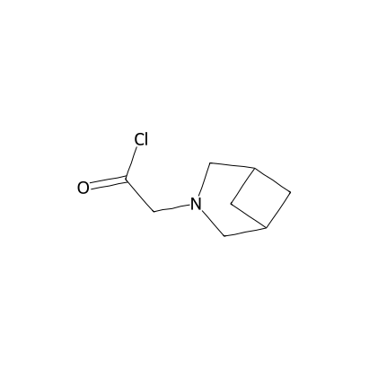 O=C(Cl)CN1CC2CC(C2)C1